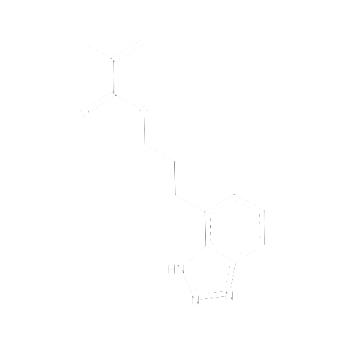 C=C(C)C(=O)OCCCc1cccc2nn[nH]c12